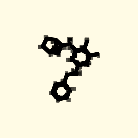 Cc1nc(NCc2ccccn2)nc(NC2CC3CCC2C3)c1C